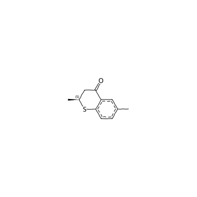 Cc1ccc2c(c1)C(=O)C[C@H](C)S2